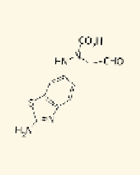 Nc1nc2ccc(NN(CC=O)C(=O)O)cc2s1